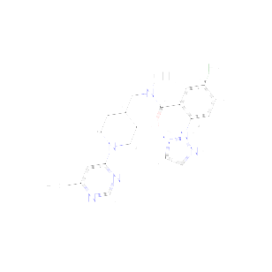 CN(CC1CCN(c2cc(C(F)(F)F)ncn2)CC1)C(=O)c1cc(F)ccc1-n1nccn1